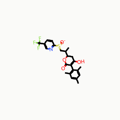 Cc1cc(C)c(C2=C(O)CC(C(C)C[S+]([O-])c3ccc(C(F)(F)F)cn3)OC2=O)c(C)c1